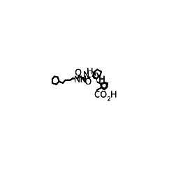 O=C(O)Cc1ccccc1C[C@@H]1[C@H](C2=NC(C(=O)NCCCCC3CCCCC3)CO2)[C@H]2CC[C@@H]1O2